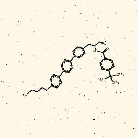 CCCCOc1ccc(-c2cnc(-c3ccc(CC(C=O)NC(=O)c4ccc(C(C)(C)C)cc4)cc3)nc2)cc1